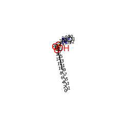 CCCCCCCCCCCCCCCCCCOP(=O)(O)OCC[N+](C)(C)C1CCCCC1